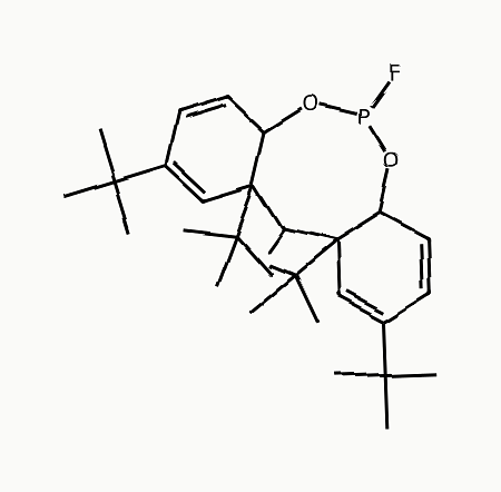 CC1C2(C(C)(C)C)C=C(C(C)(C)C)C=CC2OP(F)OC2C=CC(C(C)(C)C)=CC21C(C)(C)C